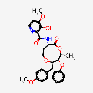 COc1ccc(C[C@H]2OCC[C@H](NC(=O)c3nccc(OC)c3O)C(=O)O[C@@H](C)[C@@H]2Oc2ccccc2)cc1